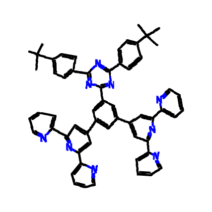 CC(C)(C)c1ccc(-c2nc(-c3ccc(C(C)(C)C)cc3)nc(-c3cc(-c4cc(-c5ccccn5)nc(-c5ccccn5)c4)cc(-c4cc(-c5ccccn5)nc(-c5ccccn5)c4)c3)n2)cc1